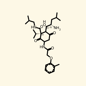 Cc1ccccc1OCC(=O)NC1CC(=O)C([C@H](O)[C@@H](N)CC(C)C)[C@@](C(=O)NCC(C)C)(C(C)C)C1=O